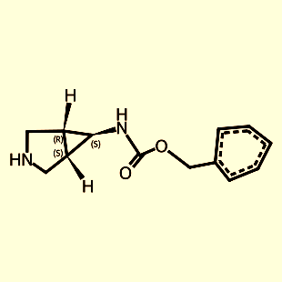 O=C(N[C@H]1[C@@H]2CNC[C@@H]21)OCc1ccccc1